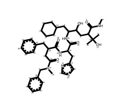 CNC(=O)C(CC(O)C(CC1CCCCC1)NC(=O)C(Cc1cscn1)NC(=O)C(CC(=O)N(C)Cc1ccccc1)Cc1ccccc1)C(C)(C)O